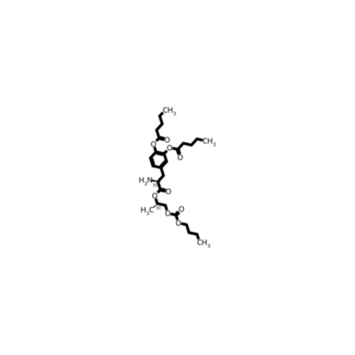 CCCCOC(=O)OC[C@H](C)OC(=O)[C@@H](N)Cc1ccc(OC(=O)CCCC)c(OC(=O)CCCC)c1